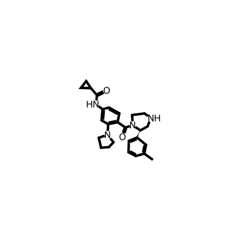 Cc1cccc([C@H]2CNCCN2C(=O)c2ccc(NC(=O)C3CC3)cc2N2CCCC2)c1